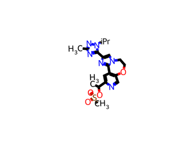 Cc1nc(-c2cn3c(n2)-c2cc(C(C)OS(C)(=O)=O)ncc2OCC3)n(C(C)C)n1